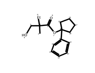 CCC(C)(CO)C(=O)OC1(c2ccccc2)CCCC1